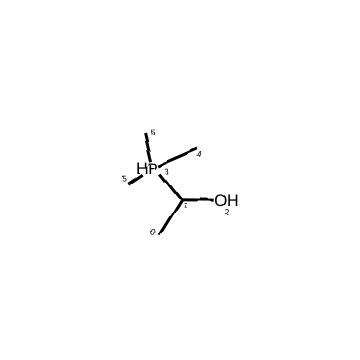 CC(O)[PH](C)(C)C